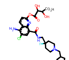 Nc1c(Cl)cc(C(=O)NCC2(F)CCN(CC3CCOC3)CC2)c2nc(OC(=O)C(O)C(O)C(=O)O)ccc12